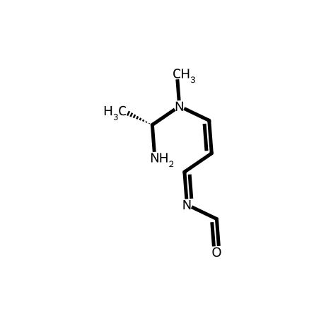 C[C@@H](N)N(C)/C=C\C=N/C=O